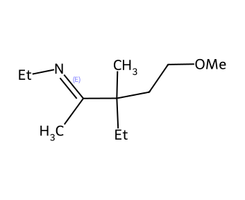 CC/N=C(\C)C(C)(CC)CCOC